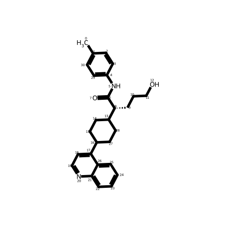 Cc1ccc(NC(=O)[C@H](CCCO)C2CCC(c3ccnc4ccccc34)CC2)cc1